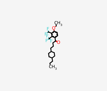 CCCC1CCC(CCCC(=O)c2ccc(OCC)c(C(F)F)c2C(F)(F)F)CC1